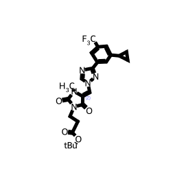 CN1C(=O)N(CCC(=O)OC(C)(C)C)C(=O)/C1=C/n1cnc(-c2cc(C3CC3)cc(C(F)(F)F)c2)n1